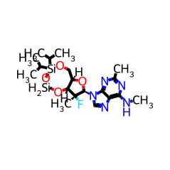 CNc1nc(C)nc2c1ncn2[C@@H]1O[C@@H]2CO[Si](C(C)C)(C(C)C)O[SiH2]O[C@H]2[C@@]1(C)F